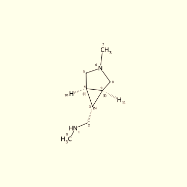 CNC[C@@H]1[C@H]2CN(C)C[C@@H]12